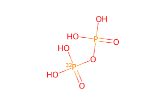 O=P(O)(O)O[32P](=O)(O)O